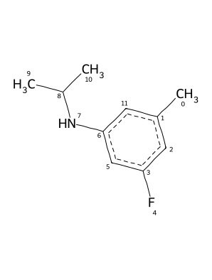 Cc1cc(F)cc(NC(C)C)c1